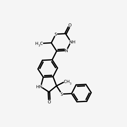 CC1SC(=O)NN=C1c1ccc2c(c1)C(C)(Sc1ccccc1)C(=O)N2